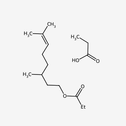 CCC(=O)O.CCC(=O)OCCC(C)CCC=C(C)C